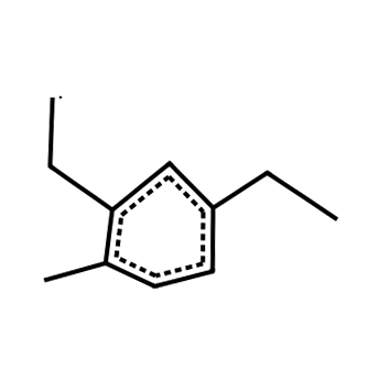 [CH2]Cc1cc(CC)ccc1C